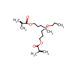 C=C(C)C(=O)OCCC[Si](C)(CCCOC(=O)C(=C)C)OCCC